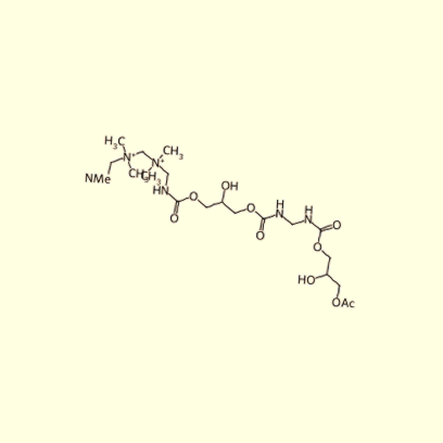 CNC[N+](C)(C)C[N+](C)(C)CNC(=O)OCC(O)COC(=O)NCNC(=O)OCC(O)COC(C)=O